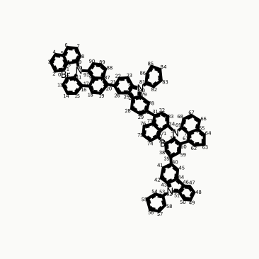 Brc1cccc2cccc(N3c4ccccc4-c4ccc(-c5ccc6c(c5)c5ccc(-c7ccc(N8c9ccc(-c%10ccc%11c(c%10)c%10ccccc%10n%11-c%10ccccc%10)cc9-c9cccc%10cccc8c9%10)c8c(Br)cccc78)cc5n6-c5ccccc5)c5cccc3c45)c12